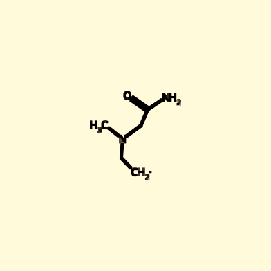 [CH2]CN(C)CC(N)=O